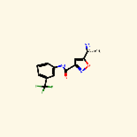 C[C@@H](N)c1cc(C(=O)Nc2cccc(C(F)(F)F)c2)no1